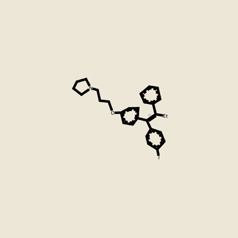 CC/C(=C(\c1ccc(I)cc1)c1ccc(OCCCN2CCCC2)cc1)c1ccccc1